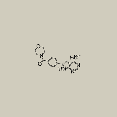 CNc1ncnc2[nH]c(-c3ccc(C(=O)N4CCOCC4)cc3)cc12